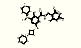 CCN(c1cc(O[C@H]2C[C@H](N3CCNCC3)C2)cc(C(=O)NCc2c(C)cc(C)[nH]c2=O)c1C)C1CCOCC1